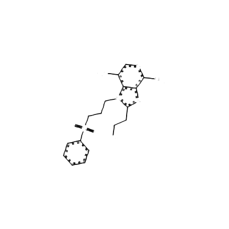 CCCc1nc2c(N)ncc(C)c2n1CCCS(=O)(=O)c1ccccc1